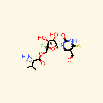 CC(C)[C@H](N)C(=O)OC[C@@]1(F)O[C@@H](n2cc(C=O)c(=S)[nH]c2=O)[C@H](O)[C@@H]1O